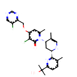 CC1=CN[C@@H](c2nc(C(C)(C)O)ccc2C)C[C@H]1n1c(C)cc(OCc2ncncc2F)c(Cl)c1=O